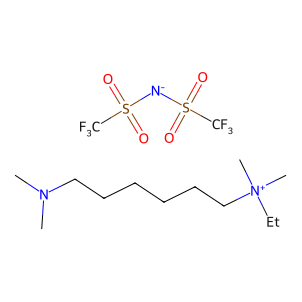 CC[N+](C)(C)CCCCCCN(C)C.O=S(=O)([N-]S(=O)(=O)C(F)(F)F)C(F)(F)F